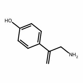 C=C(CN)c1ccc(O)cc1